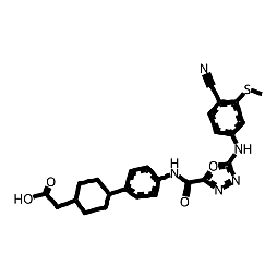 CSc1cc(Nc2nnc(C(=O)Nc3ccc(C4CCC(CC(=O)O)CC4)cc3)o2)ccc1C#N